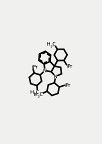 CC1CCC(C(C)C)C(N2CCC3(C4CC(C)CCC4C(C)C)c4ccccc4N(C4CC(C)CCC4C(C)C)C23)C1